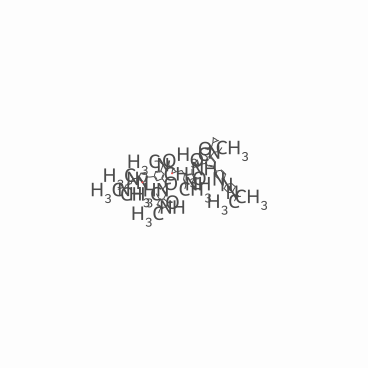 CCN(C(=O)C1CC1)c1cc(-c2ccc(N3CCN(C(C)C)CC3)nc2)cc(C(=O)NCc2c(CC3CC3C(=O)N(CC)c3cc(-c4ccc(N(C)CCN(C)C)nc4)cc(C(=O)NCc4c(C)cc(C)[nH]c4=O)c3C)cc(C)[nH]c2=O)c1C